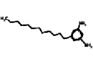 CCCCCCCCCCCCc1cc(N)cc(N)c1